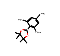 COc1cc(OC)c(B2OC(C)(C)C(C)(C)O2)c(OC)c1